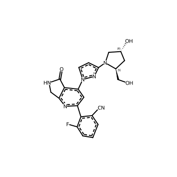 N#Cc1cccc(F)c1-c1cc(-n2ccc(N3C[C@H](O)C[C@H]3CO)n2)c2c(n1)CNC2=O